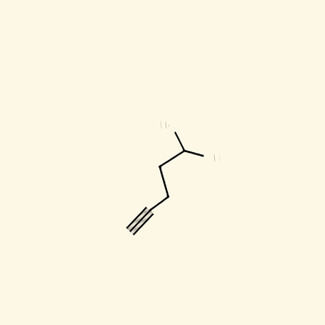 C#CCCC(O)[SiH3]